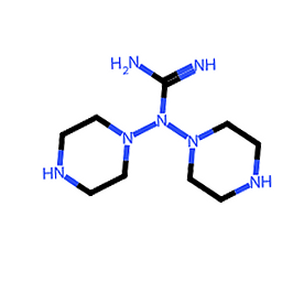 N=C(N)N(N1CCNCC1)N1CCNCC1